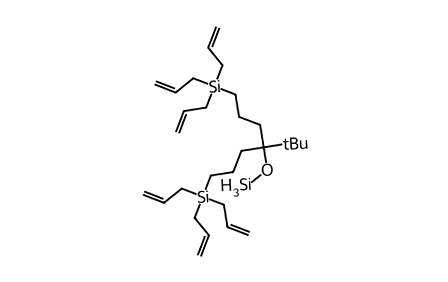 C=CC[Si](CC=C)(CC=C)CCCC(CCC[Si](CC=C)(CC=C)CC=C)(O[SiH3])C(C)(C)C